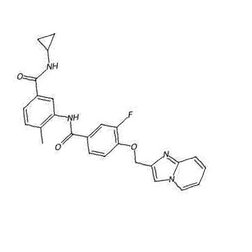 Cc1ccc(C(=O)NC2CC2)cc1NC(=O)c1ccc(OCc2cn3ccccc3n2)c(F)c1